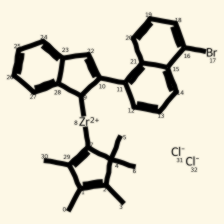 CC1=C(C)C(C)(C)[C]([Zr+2][CH]2C(c3cccc4c(Br)cccc34)=Cc3ccccc32)=C1C.[Cl-].[Cl-]